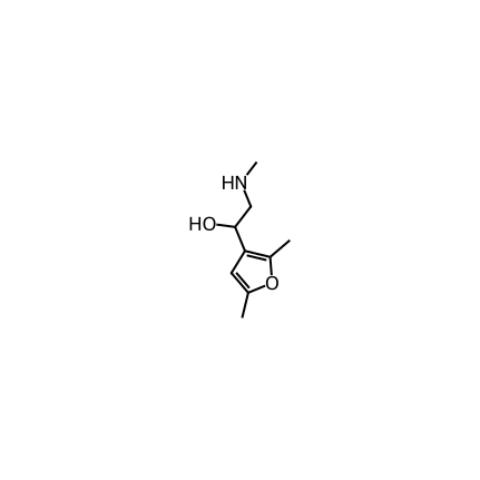 CNCC(O)c1cc(C)oc1C